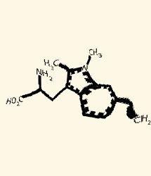 C=Cc1ccc2c(CC(N)C(=O)O)c(C)n(C)c2c1